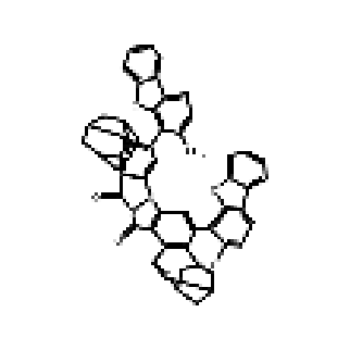 Cc1ccc2c(oc3ccccc32)c1-c1cc2c(c3c1C1CC4CC(C1)CC3C4)c(=O)n1c(=O)c3c4c(c(-c5c(C)ccc6c5oc5ccccc56)cc3n21)C1CC2CC(C1)CC4C2